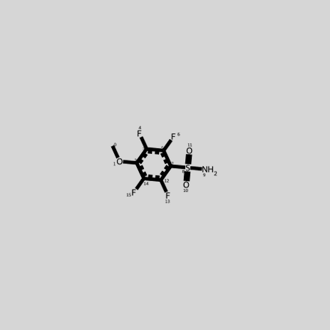 COc1c(F)c(F)c(S(N)(=O)=O)c(F)c1F